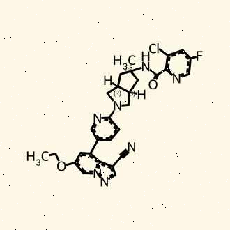 CCOc1cc(-c2ccc(N3C[C@@H]4C[C@@](C)(NC(=O)c5ncc(F)cc5Cl)C[C@@H]4C3)nc2)c2c(C#N)cnn2c1